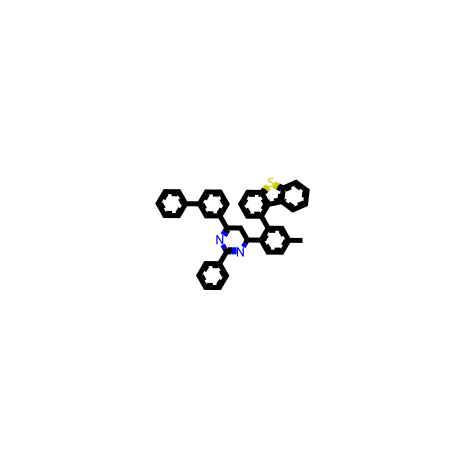 Cc1ccc(C2CC(c3cccc(-c4ccccc4)c3)=NC(c3ccccc3)=N2)c(-c2cccc3sc4ccccc4c23)c1